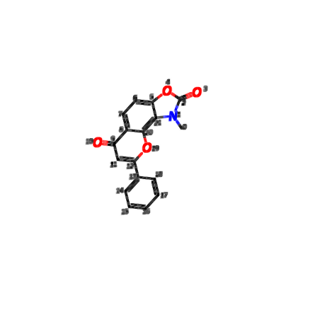 Cn1c(=O)oc2ccc3c(=O)cc(-c4ccccc4)oc3c21